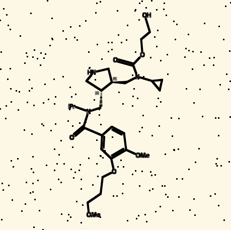 COCCCOc1cc(C(=O)N(C[C@@H]2CNC[C@H]2CN(C(=O)OCCO)C2CC2)C(C)C)ccc1OC